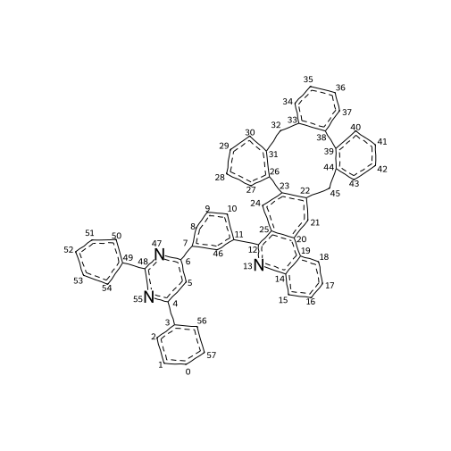 c1ccc(-c2cc(-c3cccc(-c4nc5ccccc5c5cc6c(cc45)-c4ccccc4Cc4ccccc4-c4ccccc4C6)c3)nc(-c3ccccc3)n2)cc1